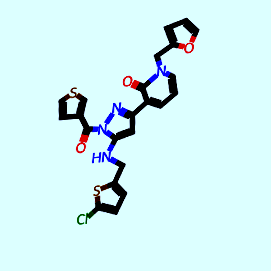 O=C(c1ccsc1)n1nc(-c2cccn(Cc3ccco3)c2=O)cc1NCc1ccc(Cl)s1